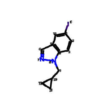 Ic1ccc2c(cnn2CC2CC2)c1